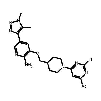 CC(=O)c1cc(N2CCC(COc3cc(-c4nnn(C)c4C)cnc3N)CC2)nc(Cl)n1